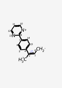 [CH2]/C=C(/C)c1ccc(-c2ncccn2)cc1